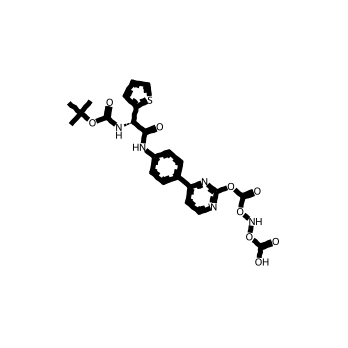 CC(C)(C)OC(=O)N[C@@H](C(=O)Nc1ccc(-c2ccnc(OC(=O)ONOC(=O)O)n2)cc1)c1cccs1